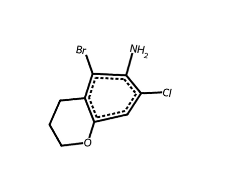 Nc1c(Cl)cc2c(c1Br)CCCO2